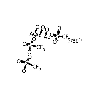 CC(=O)[O-].CC(=O)[O-].CC(=O)[O-].O=S(=O)([O-])C(F)(F)F.O=S(=O)([O-])C(F)(F)F.O=S(=O)([O-])C(F)(F)F.[Sc+3].[Sc+3]